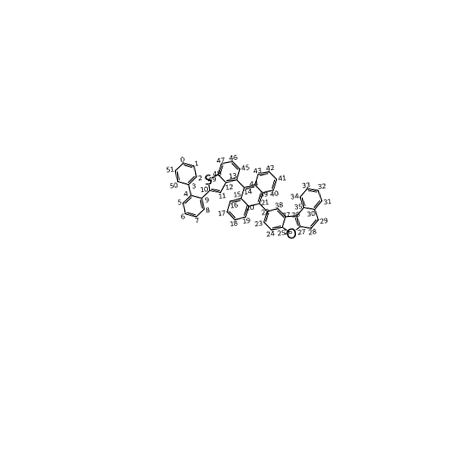 c1ccc(-c2ccccc2-c2cc3c(-c4c5ccccc5c(-c5ccc6oc7ccc8ccccc8c7c6c5)c5ccccc45)cccc3s2)cc1